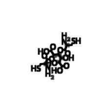 N[C@@H](CS)C(=O)O[C@@H]([C@@H](O)[C@H](O)C(=O)O)[C@@H](OC(=O)[C@@H](N)CS)C(=O)O